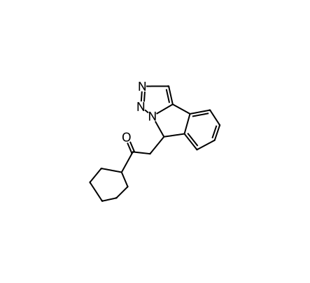 O=C(CC1c2ccccc2-c2cnnn21)C1CCCCC1